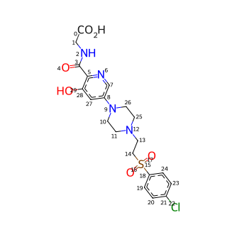 O=C(O)CNC(=O)c1ncc(N2CCN(CCS(=O)(=O)c3ccc(Cl)cc3)CC2)cc1O